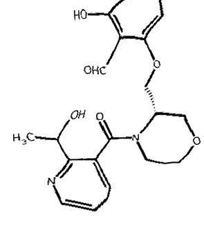 CC(O)c1ncccc1C(=O)N1CCOC[C@H]1COc1cccc(O)c1C=O